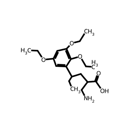 CCOc1cc(OCC)c(OCC)c(C(CC)CC(CN)C(=O)O)c1